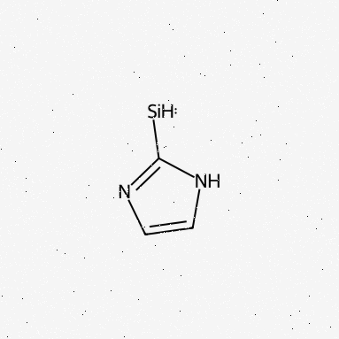 [SiH]c1ncc[nH]1